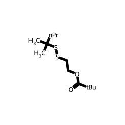 CCCC(C)(C)SSCCOC(=O)C(C)(C)C